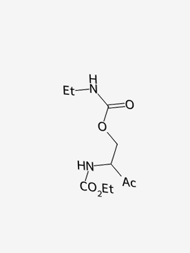 CCNC(=O)OCC(NC(=O)OCC)C(C)=O